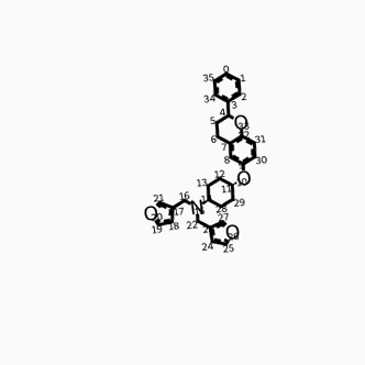 c1ccc(C2CCc3cc(O[C@H]4CC[C@H](N(Cc5ccoc5)Cc5ccoc5)CC4)ccc3O2)cc1